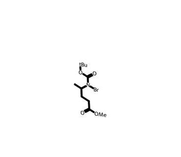 COC(=O)CCC(C)N(Br)C(=O)OC(C)(C)C